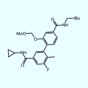 COCOc1cc(C(=O)NCC(C)(C)C)ccc1-c1cc(C(=O)NC2CC2)cc(F)c1C